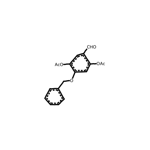 CC(=O)Oc1cc(OCc2ccccc2)c(OC(C)=O)cc1C=O